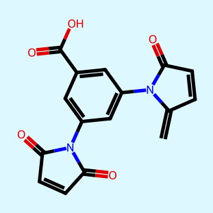 C=C1C=CC(=O)N1c1cc(C(=O)O)cc(N2C(=O)C=CC2=O)c1